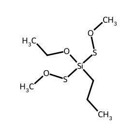 CCC[Si](OCC)(SOC)SOC